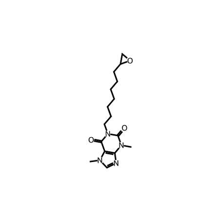 Cn1cnc2c1c(=O)n(CCCCCCCC1CO1)c(=O)n2C